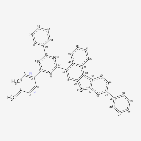 C=C/C=C\C(=C/C)c1nc(-c2ccccc2)nc(-c2cc3sc4cc(-c5ccccc5)ccc4c3c3ccccc23)n1